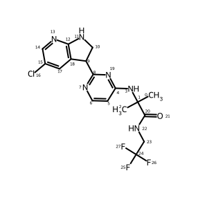 CC(C)(Nc1ccnc(C2CNc3ncc(Cl)cc32)n1)C(=O)NCC(F)(F)F